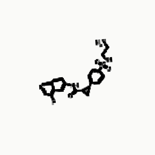 NCCNS(=O)(=O)c1ccc([C@@H]2C[C@H]2C(=O)Nc2ccc3cncc(F)c3c2)cc1